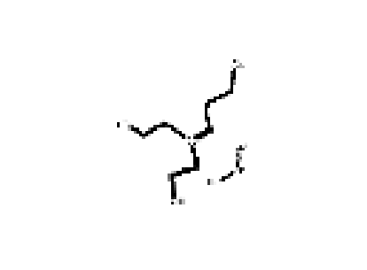 CCCCN(CCO)CCO.OBO